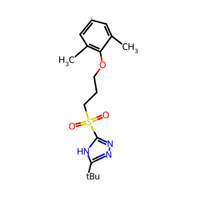 Cc1c[c]cc(C)c1OCCCS(=O)(=O)c1nnc(C(C)(C)C)[nH]1